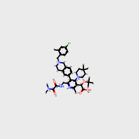 Cc1cc(F)ccc1CN1CCc2cc(-c3c(CNC(=O)C(=O)N(C)C)nc(C)c(C(OC(C)(C)C)C(=O)O)c3N3CCC(C)(C)CC3)ccc2C1